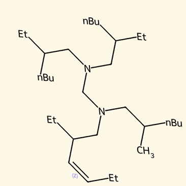 CC/C=C\C(CC)CN(CC(C)CCCC)CN(CC(CC)CCCC)CC(CC)CCCC